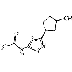 CC(=O)Nc1nnc([C@H]2CCC(C)C2)s1